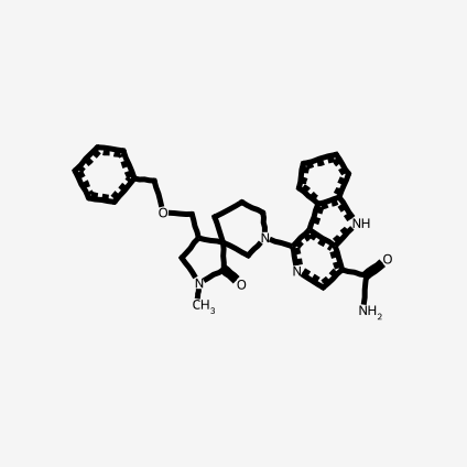 CN1CC(COCc2ccccc2)C2(CCCN(c3ncc(C(N)=O)c4[nH]c5ccccc5c34)C2)C1=O